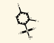 [NH]S(=O)(=O)c1ccc(F)cc1F